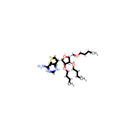 CCCCOC[C@H]1O[C@@H](c2csc3c(N)ncnc23)C(OCCCC)[C@@H]1OCCCC